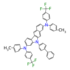 Cc1ccc(N(c2ccc(C(F)(F)F)cc2)c2ccc3cc4c5ccc(N(c6ccc(C)cc6)c6ccc(C(F)(F)F)cc6)cc5n(-c5ccc(-c6ccccc6)cc5)c4cc3c2)cc1